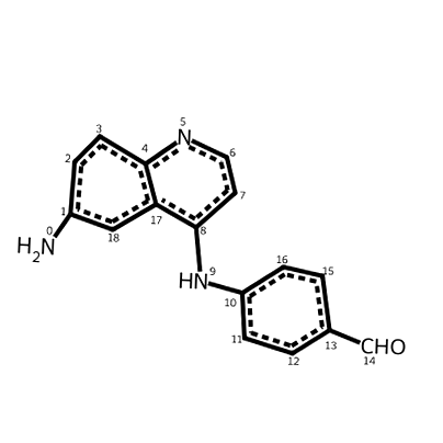 Nc1ccc2nccc(Nc3ccc(C=O)cc3)c2c1